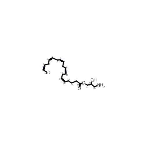 CC/C=C\C/C=C\C/C=C\C/C=C\C/C=C\CCCC(=O)OCC(O)CN